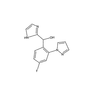 OC(c1ncc[nH]1)c1ccc(F)cc1-n1cccn1